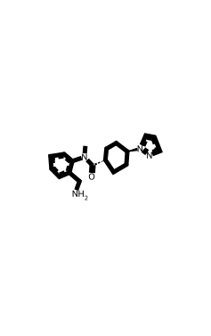 CN(c1ccccc1CN)C(=O)[C@H]1CC[C@H](n2cccn2)CC1